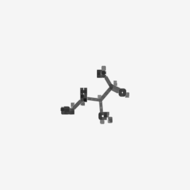 CCC(=O)C(NC(C)(C)C)C(F)(F)F